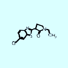 CCN1CCC(c2nc3ccc(Cl)cc3s2)C1=O